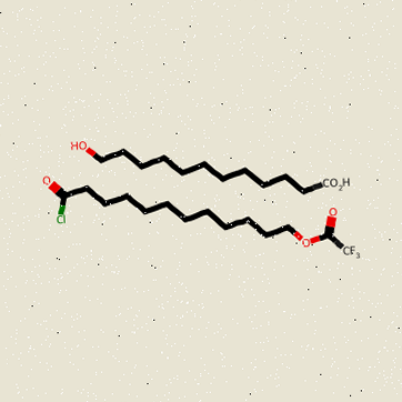 O=C(Cl)CCCCCCCCCCCOC(=O)C(F)(F)F.O=C(O)CCCCCCCCCCCO